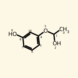 CC(O)Oc1cccc(O)c1